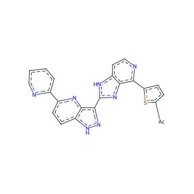 CC(=O)c1ccc(-c2nccc3[nH]c(-c4n[nH]c5ccc(-c6ccccn6)nc45)nc23)s1